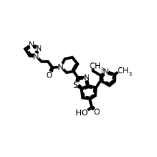 CCc1nc(C)ccc1-c1cc(C(=O)O)cc2sc(C3=CCCN(C(=O)CCn4ccnn4)C3)nc12